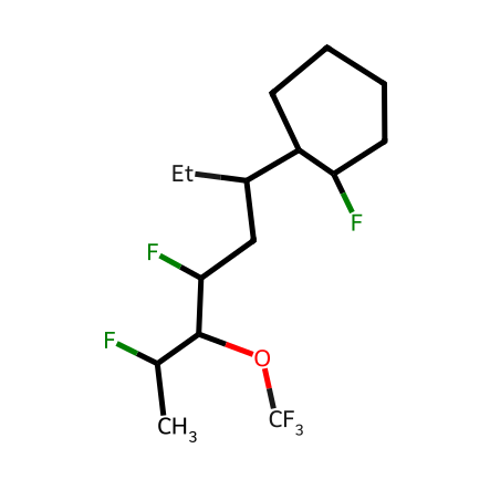 CCC(CC(F)C(OC(F)(F)F)C(C)F)C1CCCCC1F